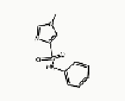 Cn1cnc(S(=O)(=O)Nc2ccccc2)c1